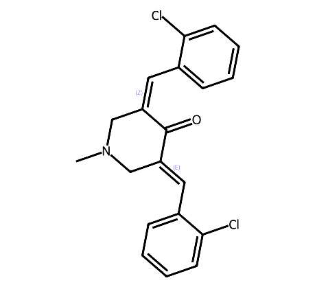 CN1C/C(=C/c2ccccc2Cl)C(=O)/C(=C/c2ccccc2Cl)C1